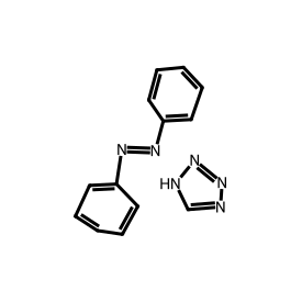 c1ccc(N=Nc2ccccc2)cc1.c1nnn[nH]1